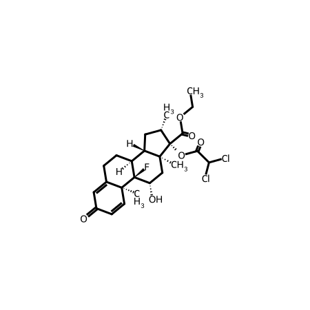 CCOC(=O)[C@]1(OC(=O)C(Cl)Cl)[C@@H](C)C[C@H]2[C@@H]3CCC4=CC(=O)C=C[C@]4(C)[C@@]3(F)[C@@H](O)C[C@@]21C